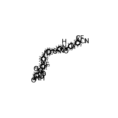 N#Cc1ccc(N2CCC(C(=O)Nc3ccc(OCC4CCN(CC5CCN(c6cc7c(cc6F)C(=O)N(C6CCC(=O)NC6=O)C7=O)CC5)CC4)cn3)CC2)cc1C(F)(F)F